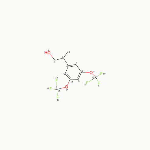 C[C](CO)c1cc(OC(F)(F)F)cc(OC(F)(F)F)c1